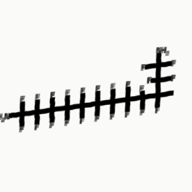 CC(F)(C(F)(F)C(N)(F)F)C(F)(F)C(F)(F)C(F)(F)C(F)(F)C(F)(F)C(F)(F)C(F)(F)C(F)(F)C(N)(F)F